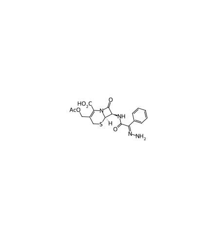 CC(=O)OCC1=C(C(=O)O)N2C(=O)[C@@H](NC(=O)/C(=N/N)c3ccccc3)[C@H]2SC1